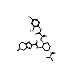 CN1CCc2nc(C(=O)N[C@@H]3C[C@@H](C(=O)N(C)C)CC[C@@H]3NC(=O)C(=O)Nc3ccc(Cl)cc3C(F)(F)F)sc2C1